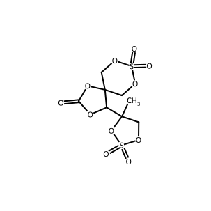 CC1(C2OC(=O)OC23COS(=O)(=O)OC3)COS(=O)(=O)O1